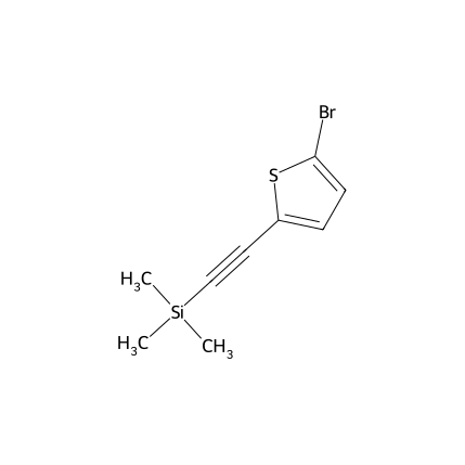 C[Si](C)(C)C#Cc1ccc(Br)s1